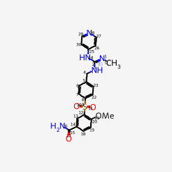 C/N=C(\NCc1ccc(S(=O)(=O)c2cc(C(N)=O)ccc2OC)cc1)Nc1ccncc1